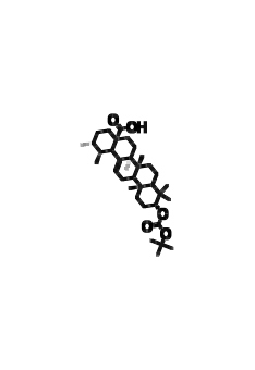 C[C@@H]1CC[C@]2(C(=O)O)CC[C@]3(C)C(=CCC4[C@@]5(C)CC[C@H](OC(=O)OC(C)(C)C)C(C)(C)C5CC[C@]43C)C2[C@H]1C